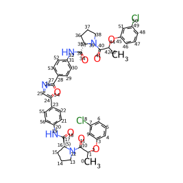 CC(Oc1cccc(Cl)c1)C(=O)N1CCC[C@H]1C(=O)Nc1ccc(-c2cnc(-c3ccc(NC(=O)[C@@H]4CCCN4C(=O)C(C)Oc4cccc(Cl)c4)cc3)o2)cc1